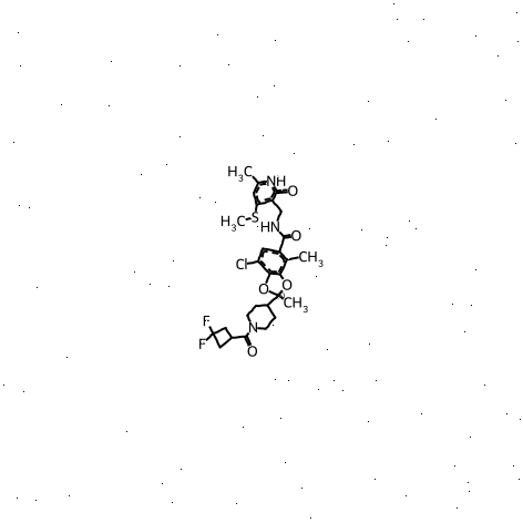 CSc1cc(C)[nH]c(=O)c1CNC(=O)c1cc(Cl)c2c(c1C)O[C@](C)(C1CCN(C(=O)C3CC(F)(F)C3)CC1)O2